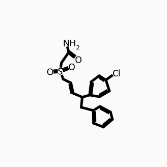 NC(=O)CS(=O)(=O)CC=CC(Cc1ccccc1)c1ccc(Cl)cc1